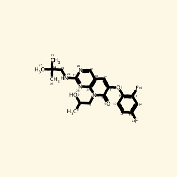 CC(O)Cn1c(=O)c(Oc2ccc(F)cc2F)cc2cnc(NCC(C)(C)C)nc21